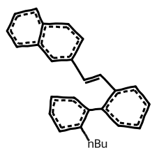 CCCCc1ccccc1-c1ccccc1/C=C/c1ccc2ccccc2c1